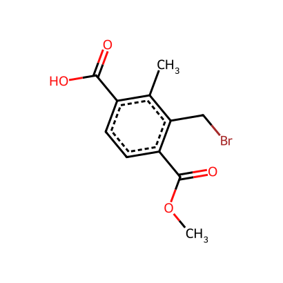 COC(=O)c1ccc(C(=O)O)c(C)c1CBr